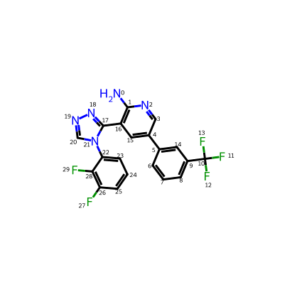 Nc1ncc(-c2cccc(C(F)(F)F)c2)cc1-c1nncn1-c1cccc(F)c1F